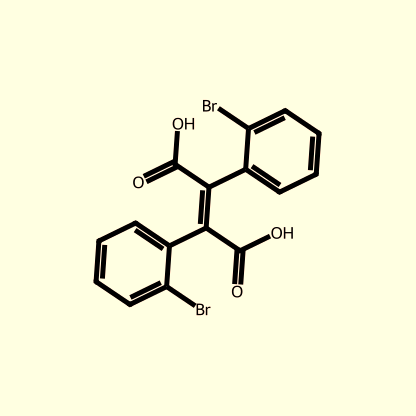 O=C(O)/C(=C(/C(=O)O)c1ccccc1Br)c1ccccc1Br